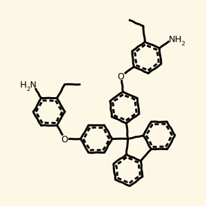 CCc1cc(Oc2ccc(C3(c4ccc(Oc5ccc(N)c(CC)c5)cc4)c4ccccc4-c4ccccc43)cc2)ccc1N